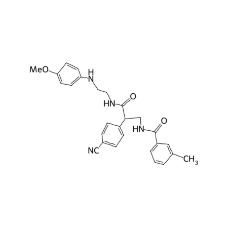 COc1ccc(NCCNC(=O)C(CNC(=O)c2cccc(C)c2)c2ccc(C#N)cc2)cc1